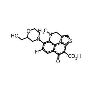 CN1Cc2csc3c(C(=O)O)c(=O)c4cc(F)c(N5CCOC(CO)C5)c1c4n23